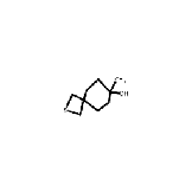 CC1(O)CCC2(CC1)CSC2